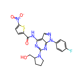 O=C(Nc1nc(N2CCCC2CO)nc2c1cnn2-c1ccc(F)cc1)c1ccc([N+](=O)[O-])s1